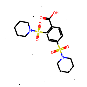 O=C(O)c1ccc(S(=O)(=O)N2CCCCC2)cc1S(=O)(=O)N1CCCCC1